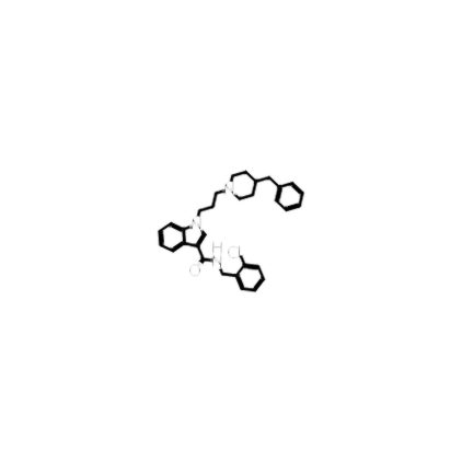 O=C(NCc1ccccc1Cl)c1cn(CCCN2CCC(Cc3ccccc3)CC2)c2ccccc12